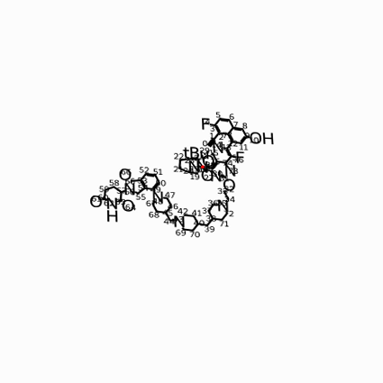 C#Cc1c(F)ccc2cc(O)cc(-c3ncc4c(N5CC6CCC(C5)N6C(=O)OC(C)(C)C)nc(OCCN5CCC(CC6CCN(CC7CCN(c8cccc9c8CN(C8CCC(=O)NC8=O)C9=O)CC7)CC6)CC5)nc4c3F)c12